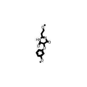 COCCC1=NC(=O)C(Oc2cccc(OC)c2)C(=O)N1